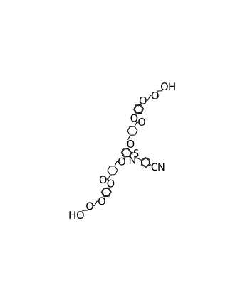 N#Cc1ccc(-c2nc3c(OCC4CCC(C(=O)Oc5ccc(OCCOCCO)cc5)CC4)ccc(OCC4CCC(C(=O)Oc5ccc(OCCOCCO)cc5)CC4)c3s2)cc1